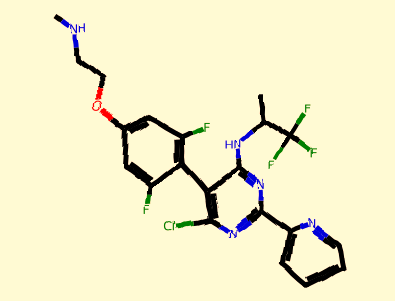 CNCCOc1cc(F)c(-c2c(Cl)nc(-c3ccccn3)nc2NC(C)C(F)(F)F)c(F)c1